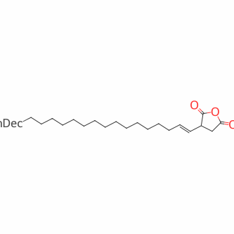 CCCCCCCCCCCCCCCCCCCCCCCCC=CC1CC(=O)OC1=O